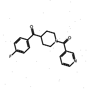 O=C(c1ccc(F)cc1)C1CCN(C(=O)c2cccnc2)CC1